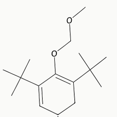 COCOC1=C(C(C)(C)C)C[CH]C=C1C(C)(C)C